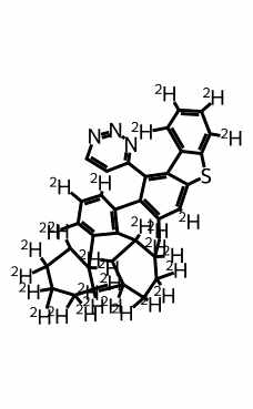 [2H]c1c([2H])c(-c2c([2H])c([2H])c3sc4c([2H])c([2H])c([2H])c([2H])c4c3c2-c2ccnnn2)c(C2([2H])C([2H])C([2H])([2H])C([2H])([2H])C([2H])([2H])C2([2H])[2H])c(C2([2H])C([2H])C([2H])([2H])C([2H])([2H])C([2H])([2H])C2([2H])[2H])c1[2H]